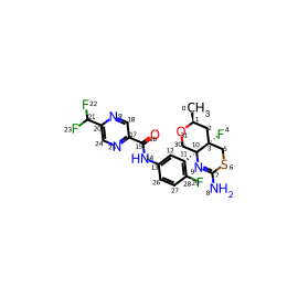 C[C@H]1C[C@@]2(F)CSC(N)=N[C@@]2(c2cc(NC(=O)c3cnc(C(F)F)cn3)ccc2F)CO1